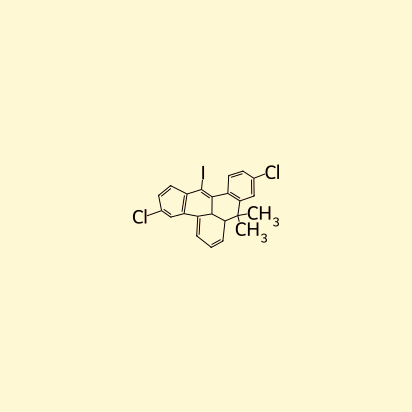 CC1(C)c2cc(Cl)ccc2C2=C(I)c3ccc(Cl)cc3C3=CC=CC1C32